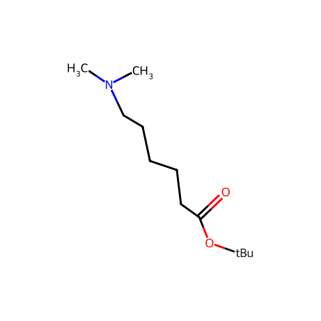 CN(C)CCCCCC(=O)OC(C)(C)C